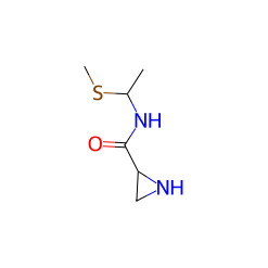 CSC(C)NC(=O)C1CN1